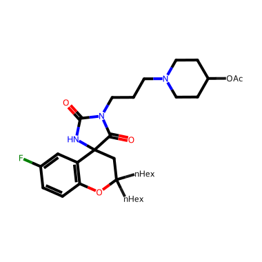 CCCCCCC1(CCCCCC)CC2(NC(=O)N(CCCN3CCC(OC(C)=O)CC3)C2=O)c2cc(F)ccc2O1